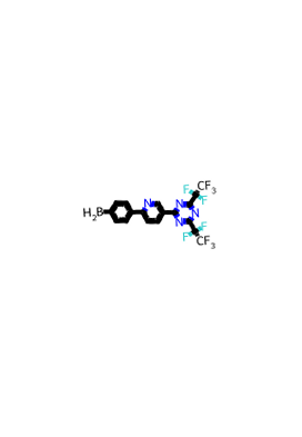 Bc1ccc(-c2ccc(-c3nc(C(F)(F)C(F)(F)F)nc(C(F)(F)C(F)(F)F)n3)cn2)cc1